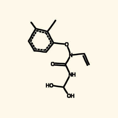 C=CN(Oc1cccc(C)c1C)C(=O)NC(O)O